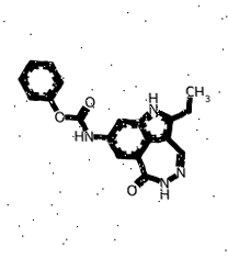 CCc1[nH]c2cc(NC(=O)Oc3ccccc3)cc3c2c1C=NNC3=O